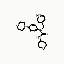 O=C(NC1CCOCC1)N(CC1CCNCC1)c1ccc(N2CCOCC2)nc1